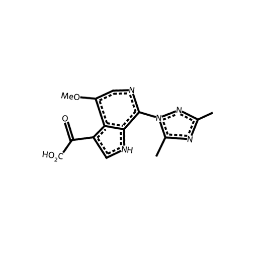 COc1cnc(-n2nc(C)nc2C)c2[nH]cc(C(=O)C(=O)O)c12